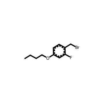 CCCCOc1ccc(CBr)c(F)c1